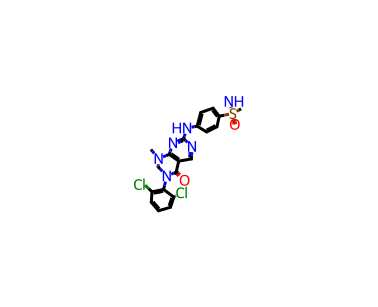 CN1CN(c2c(Cl)cccc2Cl)C(=O)c2cnc(Nc3ccc(S(C)(=N)=O)cc3)nc21